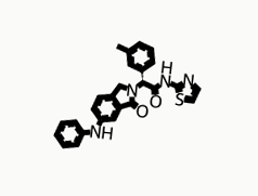 Cc1cccc([C@H](C(=O)Nc2nccs2)N2Cc3ccc(Nc4ccccc4)cc3C2=O)c1